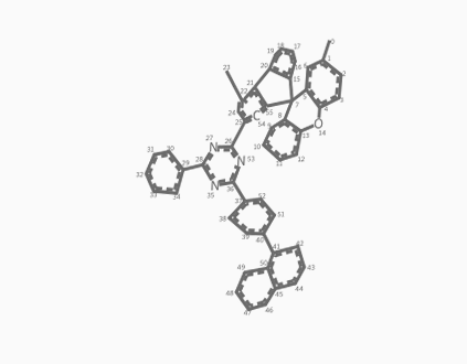 Cc1ccc2c(c1)C1(c3ccccc3O2)c2ccccc2-c2c(C)cc(-c3nc(-c4ccccc4)nc(-c4ccc(-c5cccc6ccccc56)cc4)n3)cc21